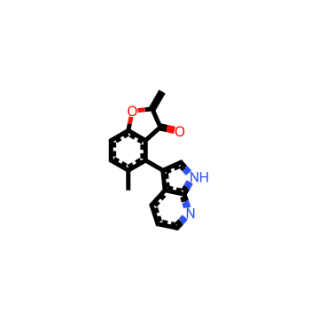 C=C1Oc2ccc(C)c(-c3c[nH]c4ncccc34)c2C1=O